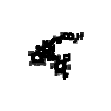 O=C(O)CSCc1nc(NCc2ccc(F)cc2Cl)c2c3c(sc2n1)CCCC3